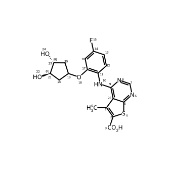 Cc1c(C(=O)O)sc2ncnc(Nc3ccc(F)cc3OC3C[C@@H](O)[C@H](O)C3)c12